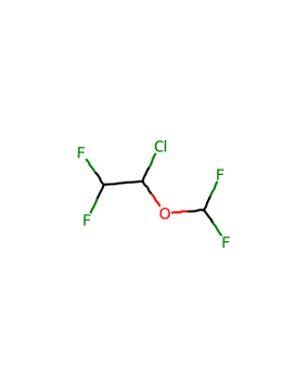 FC(F)OC(Cl)C(F)F